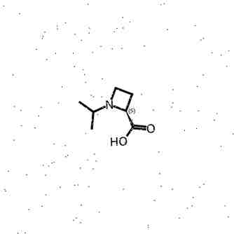 CC(C)N1CC[C@H]1C(=O)O